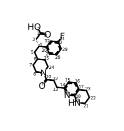 O=C(O)C[C@@H](CC1CCN(C(=O)CCc2ccc3c(n2)NCCC3)CC1)c1cccc(F)c1